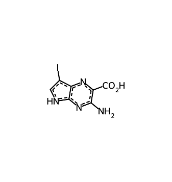 Nc1nc2[nH]cc(I)c2nc1C(=O)O